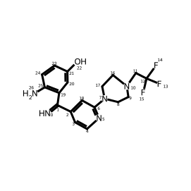 N=C(c1ccnc(N2CCN(CC(F)(F)F)CC2)c1)c1cc(O)ccc1N